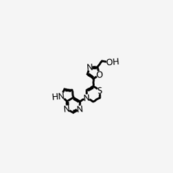 OCc1ncc(C2=CN(c3ncnc4[nH]ccc34)CCS2)o1